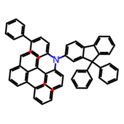 c1ccc(-c2ccc(N(c3ccc4c(c3)C(c3ccccc3)(c3ccccc3)c3ccccc3-4)c3ccccc3-c3cccc4cccc(-c5ccccc5)c34)cc2)cc1